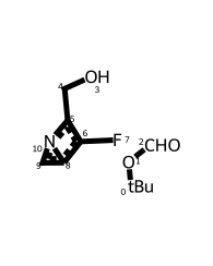 CC(C)(C)OC=O.OCc1c(F)c2cn1-2